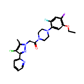 CCOc1cc(N2CCN(C(=O)Cn3nc(-c4ccccn4)c(Cl)c3C)CC2)c(F)cc1I